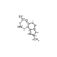 CC[C@@H]1CNCc2c(ccc3cn(C)nc23)O1